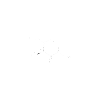 CON(C)C(=O)[C@@H](C)N(C)C(=O)O